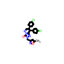 Cc1cc(Cn2nc3c(-c4ccc(Cl)cc4)c(-c4ccc(Cl)cc4)cnn3c2=O)no1